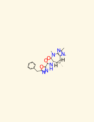 Cc1nc2c(n1C)[C@@H]1[C@H](C)[C@@H]1[C@H](NC(=O)c1nnc(Cc3ccccc3)o1)C(=O)N2C